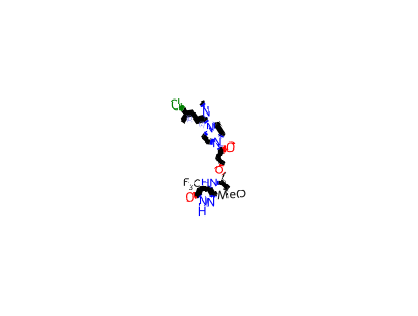 C=N/C(=C\C=C(/C)Cl)N1CCN(C(=O)CCOC[C@H](COC)Nc2cn[nH]c(=O)c2C(F)(F)F)CC1